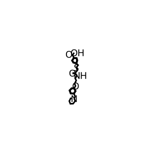 O=C(CSCc1ccc(C(=O)O)cc1)NCCCOc1cccc(CN2CCCCC2)c1